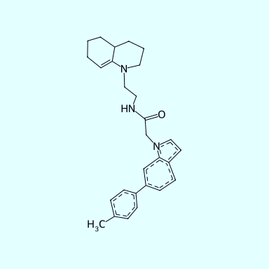 Cc1ccc(-c2ccc3ccn(CC(=O)NCCN4CCCC5CCCC=C54)c3c2)cc1